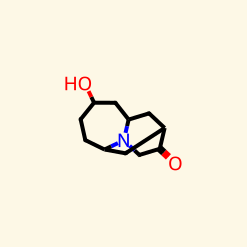 O=C1CN2C3CCC(O)CC2CC1C3